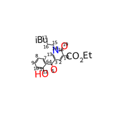 CCOC(=O)c1cc(C(=O)c2ccccc2O)cn(CCC(C)CC)c1=O